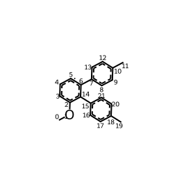 COc1cc[c]c(-c2ccc(C)cc2)c1-c1ccc(C)cc1